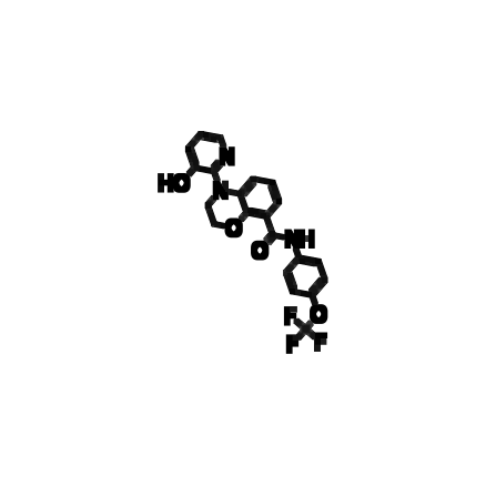 O=C(Nc1ccc(OC(F)(F)F)cc1)c1cccc2c1OCCN2c1ncccc1O